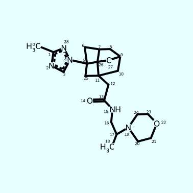 Cc1ncn(C23CC4CC5CC(CC(=O)NCC(C)N6CCOCC6)(C2)C43C5)n1